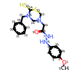 COc1ccc(NNC(=O)CN2CSC(S)N(Cc3ccccc3)C2)cc1